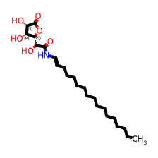 CCCCCCCCCCCCCCCC=CNC(=O)C(O)[C@H]1OC(=O)[C@@H](O)[C@H]1O